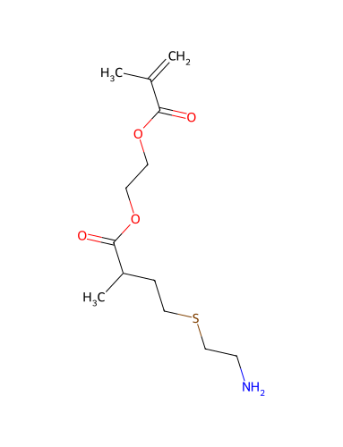 C=C(C)C(=O)OCCOC(=O)C(C)CCSCCN